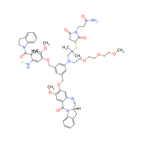 C=C(C(=O)N1CCc2ccccc21)/C(=C\C(OCc1cc(COc2cc3c(cc2OC)C(=O)N2c4ccccc4C[C@H]2C=N3)cc(N(CCOCCOCCOC)CC(C)(C)SC2CC(=O)N(CCC(N)=O)C2=O)c1)=C(/C)OC)NF